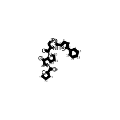 CC(C)CC(NC(=O)c1ccc(-c2ccccc2)s1)C(=O)N1CCC2C1C(=O)CN2C(=O)C1CCCO1